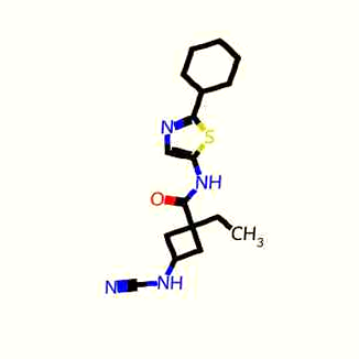 CCC1(C(=O)Nc2cnc(C3CCCCC3)s2)CC(NC#N)C1